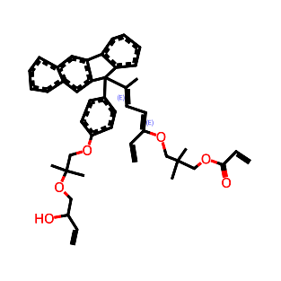 C=CC(=O)OCC(C)(C)CO/C(C=C)=C/C=C(\C)C1(c2ccc(OCC(C)(C)OCC(O)C=C)cc2)c2ccccc2-c2cc3ccccc3cc21